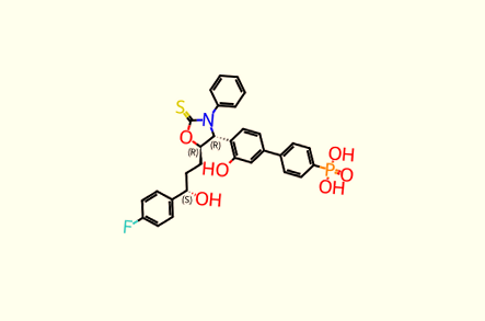 O=P(O)(O)c1ccc(-c2ccc([C@@H]3[C@@H](CC[C@H](O)c4ccc(F)cc4)OC(=S)N3c3ccccc3)c(O)c2)cc1